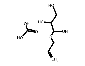 C=CCOC(O)C(O)CO.O=C(O)O